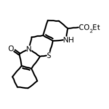 CCOC(=O)C1CCC2=C(N1)SC1C3=C(CCCC3)C(=O)N1C2